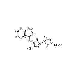 CC(=O)Nc1nc(C)c(-c2csc(Nc3cccc4ccccc34)n2)s1.Cl